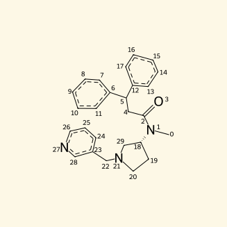 CN(C(=O)CC(c1ccccc1)c1ccccc1)[C@@H]1CCN(Cc2cccnc2)C1